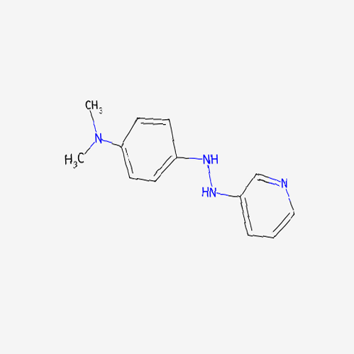 CN(C)c1ccc(NNc2cccnc2)cc1